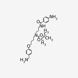 CC(C)(C)OC(=O)N(CCCCOc1ccc(CN)cc1)CCCNC(=O)c1ccc(N)cc1